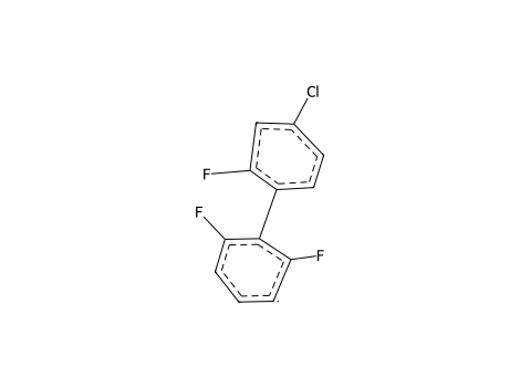 Fc1[c]ccc(F)c1-c1ccc(Cl)cc1F